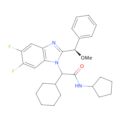 CO[C@H](c1ccccc1)c1nc2cc(F)c(F)cc2n1C(C(=O)NC1CCCC1)C1CCCCC1